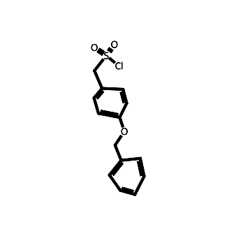 O=S(=O)(Cl)Cc1ccc(OCc2ccccc2)cc1